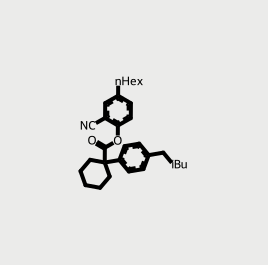 CCCCCCc1ccc(OC(=O)C2(c3ccc(CC(C)CC)cc3)CCCCC2)c(C#N)c1